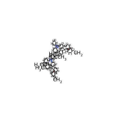 C=Cc1ccc(CC2(c3ccc(C(C)(C)C)cc3)c3ccccc3-c3ccc(N(c4ccccc4)c4ccc(-c5ccc(N(c6ccccc6)c6ccc7c(c6)[C@@](Cc6ccc(C=C)cc6)(c6ccc(C(C)(C)C)cc6)c6ccccc6-7)cc5)cc4)cc32)cc1